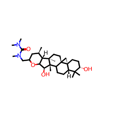 C[C@@H]1CC(CN(C)C(=O)N(C)C)OC2[C@H]1[C@@]1(C)CC[C@@]34C[C@@]35CC[C@H](O)C(C)(C)[C@@H]5CCC4[C@]1(C)[C@H]2O